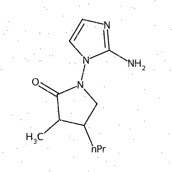 CCCC1CN(n2ccnc2N)C(=O)C1C